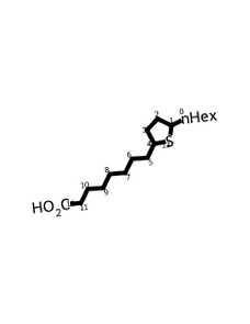 CCCCCCC1CCC(CCCCCCCC(=O)O)S1